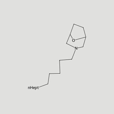 CCCCCCCCCCCCN1CC2CCC(C1)O2